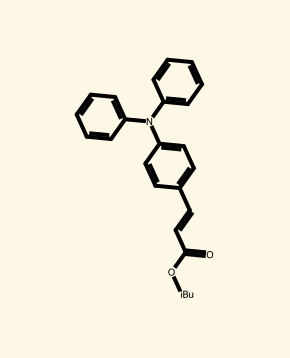 CCC(C)OC(=O)/C=C/c1ccc(N(c2ccccc2)c2ccccc2)cc1